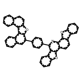 c1ccc2c(c1)ccc1oc3c(-c4ccc(-c5nc6c(ccc7c8ccccc8oc76)c6oc7ccccc7c56)cc4)cc4ccccc4c3c12